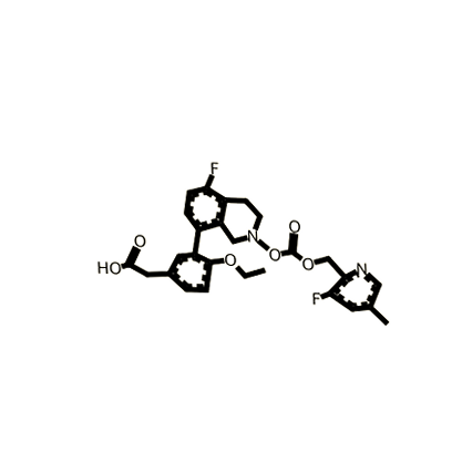 CCOc1ccc(CC(=O)O)cc1-c1ccc(F)c2c1CN(OC(=O)OCc1ncc(C)cc1F)CC2